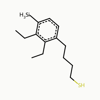 CCc1c([SiH3])ccc(CCCCS)c1CC